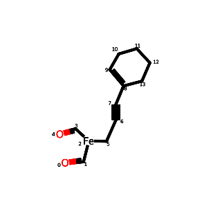 O=[CH][Fe]([CH]=O)[CH2]C#CC1=CCCCC1